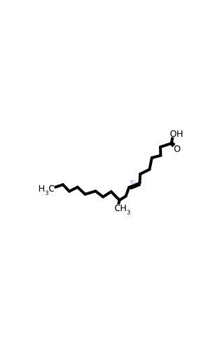 CCCCCCCCC(C)C/C=C/CCCCCC(=O)O